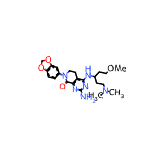 COCCC(CCN(C)C)Nc1nc(N)nc2c1CCN(c1ccc3c(c1)OCO3)C2=O